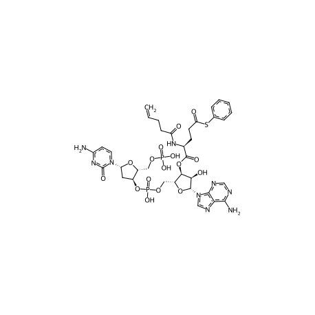 C=CCCC(=O)N[C@@H](CCC(=O)Sc1ccccc1)C(=O)O[C@H]1[C@@H](O)[C@H](n2cnc3c(N)ncnc32)O[C@@H]1COP(=O)(O)O[C@H]1C[C@H](n2ccc(N)nc2=O)O[C@@H]1COP(=O)(O)O